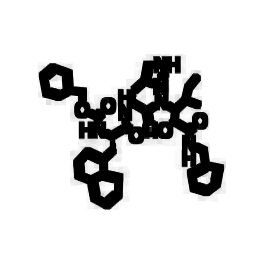 CCC(C)C(NC(=O)[C@@H](Cc1c[nH]cn1)NC(=O)[C@H](Cc1cccc2ccccc12)NC(=O)OCc1ccccc1)C(O)C(=O)NCc1ccccc1